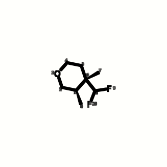 C[C@H]1COCC[C@]1(C)C(F)F